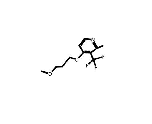 COCCCOc1ccnc(C)c1C(F)(F)F